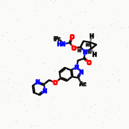 CC(=O)c1nn(CC(=O)N2[C@@H](OC(=O)NC(C)C)C[C@H]3C[C@H]32)c2ccc(OCc3ncccn3)cc12